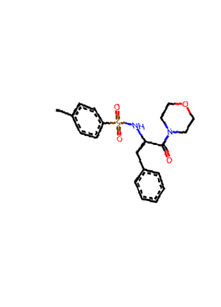 Cc1ccc(S(=O)(=O)NC(Cc2ccccc2)C(=O)N2CCOCC2)cc1